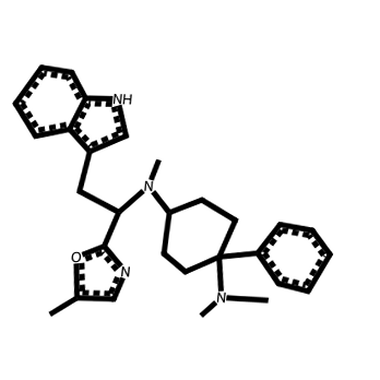 Cc1cnc(C(Cc2c[nH]c3ccccc23)N(C)C2CCC(c3ccccc3)(N(C)C)CC2)o1